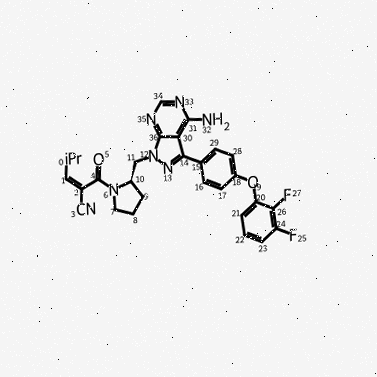 CC(C)/C=C(/C#N)C(=O)N1CCC[C@@H]1Cn1nc(-c2ccc(Oc3cccc(F)c3F)cc2)c2c(N)ncnc21